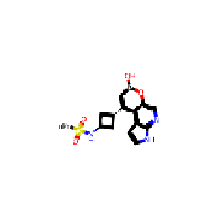 CCCS(=O)(=O)N[C@H]1C[C@H](C2=CB(O)Oc3cnc4[nH]ccc4c32)C1